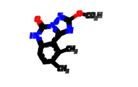 Cc1ccc2[nH]c(=O)n3nc(OC(=O)O)nc3c2c1C